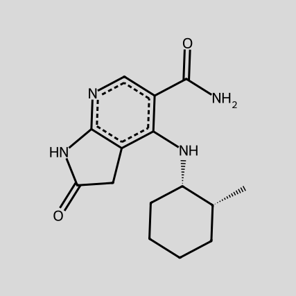 C[C@@H]1CCCC[C@@H]1Nc1c(C(N)=O)cnc2c1CC(=O)N2